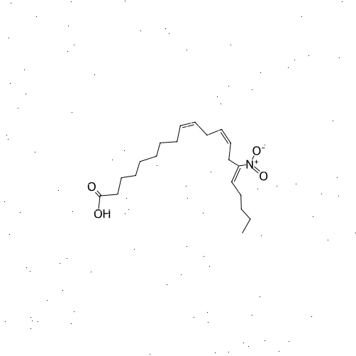 CCCC/C=C(/C/C=C\C/C=C\CCCCCCCC(=O)O)[N+](=O)[O-]